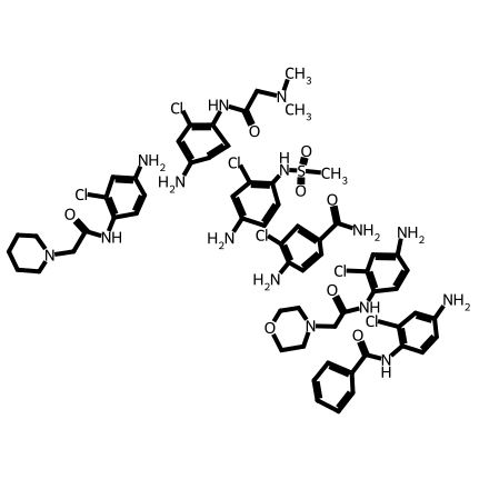 CN(C)CC(=O)Nc1ccc(N)cc1Cl.CS(=O)(=O)Nc1ccc(N)cc1Cl.NC(=O)c1ccc(N)c(Cl)c1.Nc1ccc(NC(=O)CN2CCCCC2)c(Cl)c1.Nc1ccc(NC(=O)CN2CCOCC2)c(Cl)c1.Nc1ccc(NC(=O)c2ccccc2)c(Cl)c1